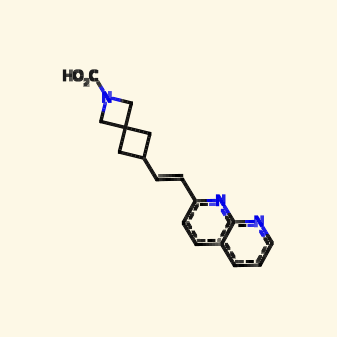 O=C(O)N1CC2(CC(/C=C/c3ccc4cccnc4n3)C2)C1